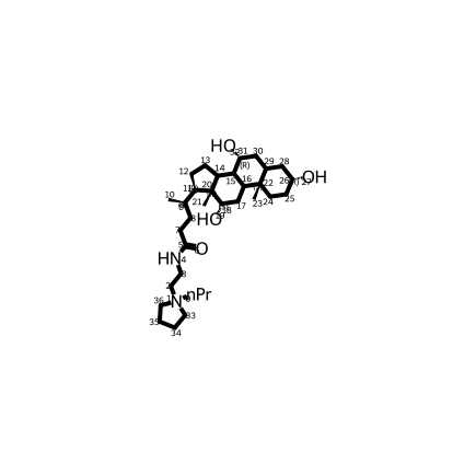 CCC[N+]1(CCNC(=O)CC[C@@H](C)[C@H]2CCC3C4C(C[C@H](O)[C@@]32C)[C@@]2(C)CC[C@@H](O)CC2C[C@H]4O)CCCC1